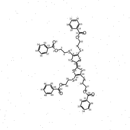 O=C(OCCSC1=C(SCCOC(=O)c2ccccc2)SC(=C2SC(SCCOC(=O)c3ccccc3)=C(SCCOC(=O)c3ccccc3)S2)S1)c1ccccc1